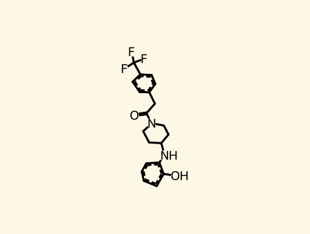 O=C(Cc1ccc(C(F)(F)F)cc1)N1CCC(Nc2ccccc2O)CC1